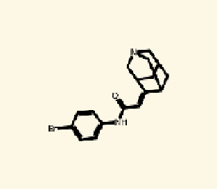 O=C(C=C1C2CC3CC1CN(C3)C2)Nc1ccc(Br)cc1